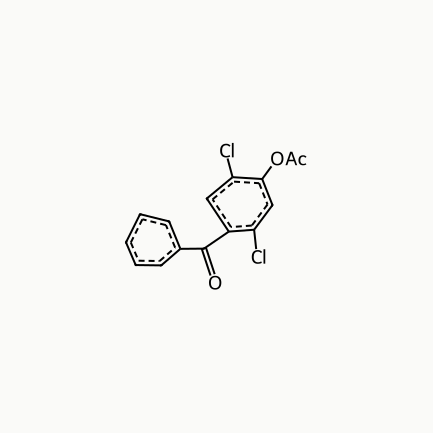 CC(=O)Oc1cc(Cl)c(C(=O)c2ccccc2)cc1Cl